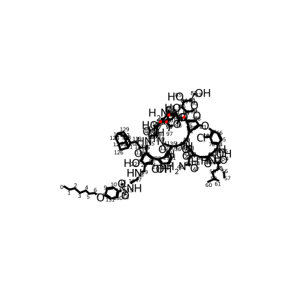 CCCCCCCOc1ccc(S(=O)(=O)NCCNCc2c(O)cc3c(c2O)-c2cc(ccc2O)[C@H]2CC(=O)[C@@H]4NC(=O)[C@H](CC(N)=O)CC(=O)[C@H](NC(=O)[C@H](CC)CC(C)C)[C@H](O)c5ccc(c(Cl)c5)Oc5cc4cc(c5O[C@@H]4O[C@H](CO)[C@@H](O)[C@H](O)[C@H]4O[C@H]4C[C@H](N)[C@H](C)[C@H](C)O4)Oc4ccc(cc4Cl)[C@@H](O)[C@H](NC2=O)C(=O)N[C@@H]3C(=O)CC2C3CC4CC(C3)CC2C4)cc1